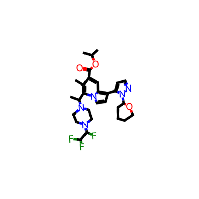 Cc1c(C(=O)OC(C)C)cc2c(-c3ccnn3C3CCCCO3)ccn2c1C(C)N1CCN(C(F)C(F)F)CC1